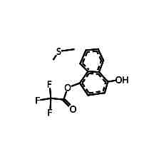 CSC.O=C(Oc1ccc(O)c2ccccc12)C(F)(F)F